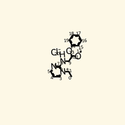 CC[n+]1cccnc1NCC(OC)Oc1ccccc1.[Cl-]